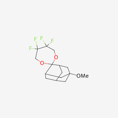 COC12CC3CC(C1)C1(OCC(F)(F)C(F)(F)CO1)C(C3)C2